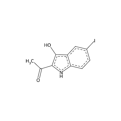 CC(=O)c1[nH]c2ccc(I)cc2c1O